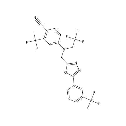 N#Cc1ccc(N(Cc2nnc(-c3cccc(C(F)(F)F)c3)o2)CC(F)(F)F)cc1C(F)(F)F